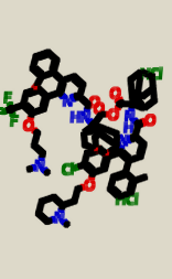 Cc1ccccc1-c1ccc(C(=O)NC2(C(=O)OC(=O)C3(NC(=O)c4ccc(-c5ccccc5C)c(-c5ccc(C(F)(F)F)c(OCCCN(C)C)c5)n4)C4CC5CC(C4)CC3C5)C3CC4CC(C3)CC2C4)nc1-c1ccc(Cl)c(OCCC2CCCCN2C)c1.Cl.Cl